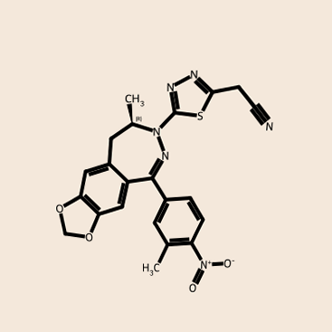 Cc1cc(C2=NN(c3nnc(CC#N)s3)[C@H](C)Cc3cc4c(cc32)OCO4)ccc1[N+](=O)[O-]